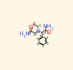 NC(=O)C(c1ccccc1)N1CCOC(N)C1